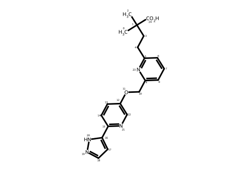 CC(C)(CCc1cccc(COc2ccc(-c3ccn[nH]3)nc2)n1)C(=O)O